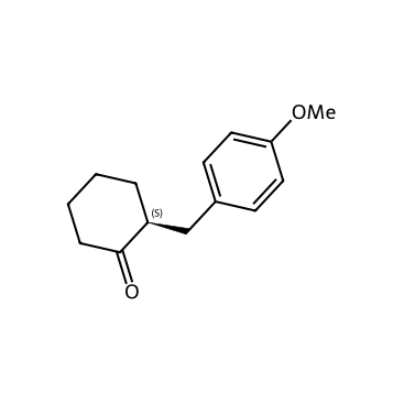 COc1ccc(C[C@@H]2CCCCC2=O)cc1